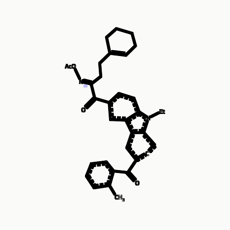 CCn1c2ccc(C(=O)/C(CCC3=CCCCC3)=N/OC(C)=O)cc2c2cc(C(=O)c3ccccc3C)ccc21